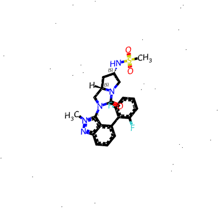 Cn1nc2cccc(-c3c(F)cccc3F)c2c1N1C[C@@H]2C[C@H](NS(C)(=O)=O)CN2C1=O